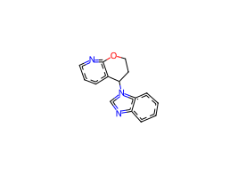 c1cnc2c(c1)C(n1cnc3ccccc31)CCO2